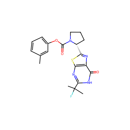 Cc1cccc(OC(=O)N2CCC[C@@H]2c2nc3c(=O)[nH]c(C(C)(C)F)nc3s2)c1